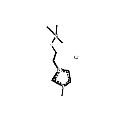 Cn1cc[n+](CCO[Si](C)(C)C)c1.[Cl-]